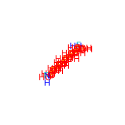 O=P(O)(O)OCC(CNF)COP(=O)(O)OCCOP(=O)(O)OCCOP(=O)(O)OCCOP(=O)(O)OCCOP(=O)(O)OCCOP(=O)(O)OCCOP(=O)(O)OCCOP(=O)(O)OCCOP(=O)(O)OCCOP(=O)(O)OCC(CO)CNF